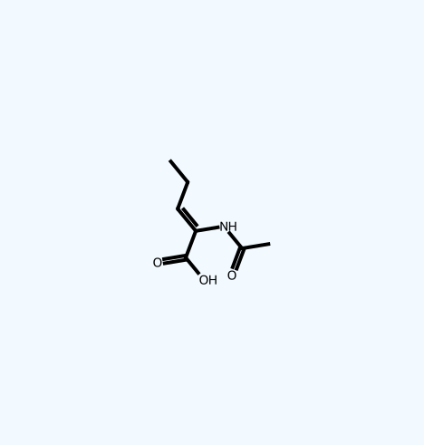 CCC=C(NC(C)=O)C(=O)O